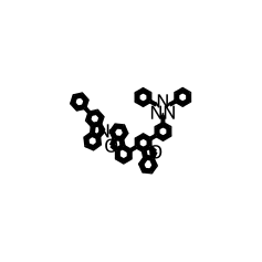 c1ccc(-c2ccc3c(c2)c2ccccc2n3-c2cccc3c2oc2cccc(-c4ccc(-c5cccc(-c6nc(-c7ccccc7)nc(-c7ccccc7)n6)c5)c5oc6ccccc6c45)c23)cc1